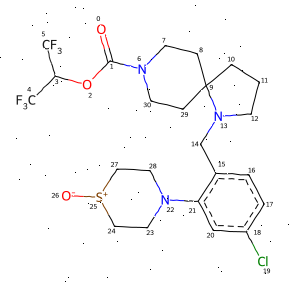 O=C(OC(C(F)(F)F)C(F)(F)F)N1CCC2(CCCN2Cc2ccc(Cl)cc2N2CC[S+]([O-])CC2)CC1